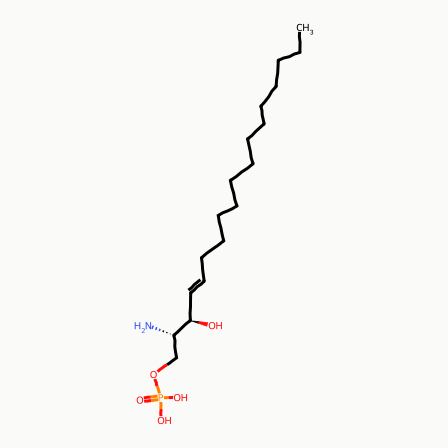 CCCCCCCCCCCCCC=C[C@@H](O)[C@@H](N)COP(=O)(O)O